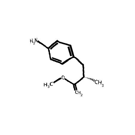 C=C(OC)[C@@H](C)Cc1ccc(N)cc1